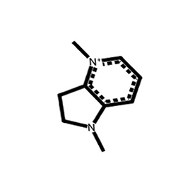 CN1CCc2c1ccc[n+]2C